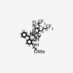 COCCNc1cccc2c1NC(=O)[C@@H](NC(=O)[C@H](CCCC(F)(F)F)[C@H](CCC(F)(F)F)C(N)=O)N=C2c1ccccc1